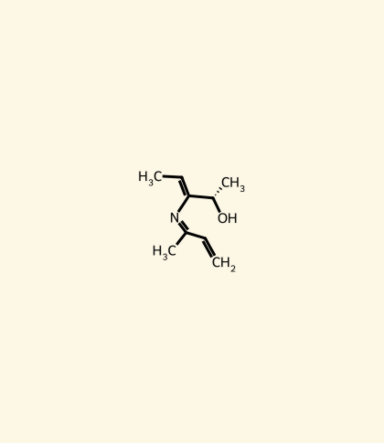 C=C/C(C)=N\C(=C/C)[C@H](C)O